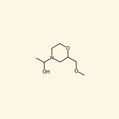 [CH2]C(O)N1CCOC(COC)C1